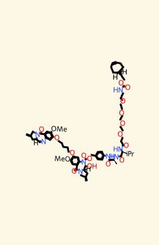 C=C1C[C@H]2C=Nc3cc(OCCCCCOc4cc5c(cc4OC)C(=O)N4CC(=C)C[C@H]4[C@H](O)N5C(=O)OCc4ccc(NC(=O)[C@H](C)NC(=O)[C@@H](NC(=O)CCOCCOCCOCCOCCNC(=O)OCC5[C@H]6CCC#CCC[C@@H]56)C(C)C)cc4)c(OC)cc3C(=O)N2C1